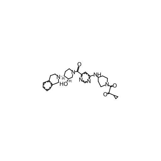 O=C(C(=O)N1CCC(Nc2cc(C(=O)N3CC[C@@H](N4CCc5ccccc5C4)[C@H](O)C3)ncn2)CC1)C1CC1